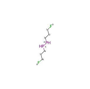 FCCCPPCCCF